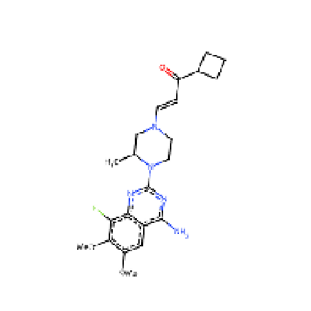 COc1cc2c(N)nc(N3CCN(C=CC(=O)C4CCC4)CC3C)nc2c(F)c1OC